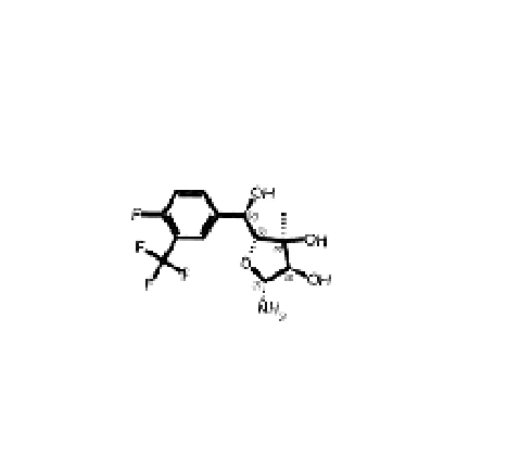 C[C@@]1(O)[C@@H]([C@H](O)c2ccc(F)c(C(F)(F)F)c2)O[C@@H](N)[C@@H]1O